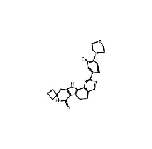 O=C1NC2(CCC2)Cc2[nH]c3c(c21)CCc1cnc(-c2ccc(N4CCOCC4)c(Cl)c2)nc1-3